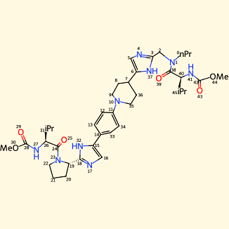 CCCN(Cc1ncc(C2CCN(c3ccc(-c4cnc([C@@H]5CCCN5C(=O)[C@@H](NC(=O)OC)C(C)C)[nH]4)cc3)CC2)[nH]1)C(=O)[C@@H](NC(=O)OC)C(C)C